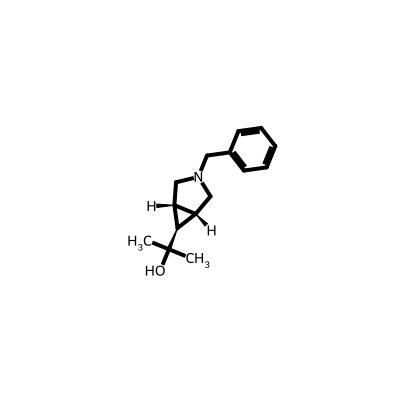 CC(C)(O)[C@H]1[C@@H]2CN(Cc3ccccc3)C[C@@H]21